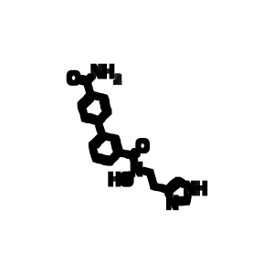 NC(=O)c1ccc(-c2cccc(C(=O)N(O)CCc3c[nH]cn3)c2)cc1